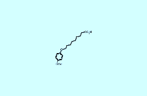 COc1ccc(OCCCCCCCCC(=O)O)cc1